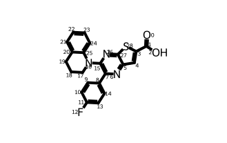 O=C(O)c1cc2nc(-c3ccc(F)cc3)c(N3CCCc4ccccc43)nc2s1